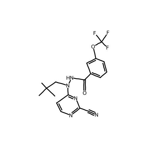 CC(C)(C)CN(NC(=O)c1cccc(OC(F)(F)F)c1)c1ccnc(C#N)n1